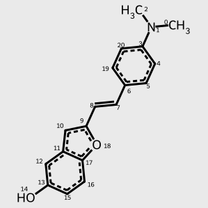 CN(C)c1ccc(C=Cc2cc3cc(O)ccc3o2)cc1